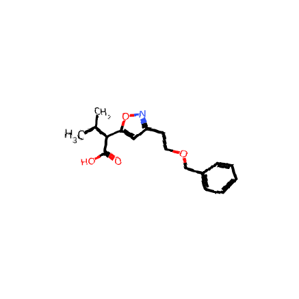 CC(C)C(C(=O)O)c1cc(CCOCc2ccccc2)no1